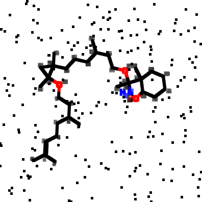 CC(C)=CCCC(C)CCOC1(C)CC1(C)CCCC(C)CCOC(C)(N)C1(C)CCCCC1O